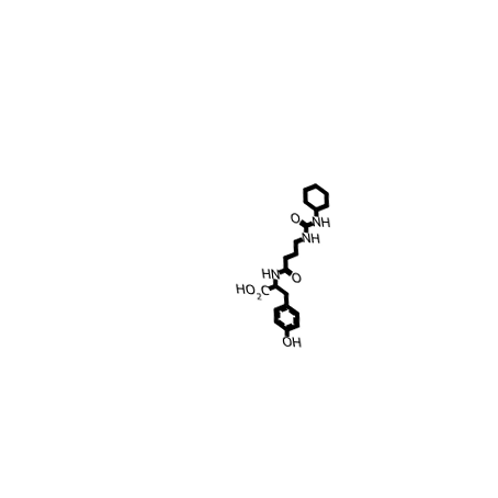 O=C(CCCNC(=O)NC1CCCCC1)NC(Cc1ccc(O)cc1)C(=O)O